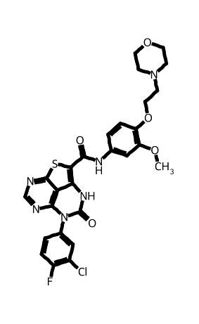 COc1cc(NC(=O)c2sc3ncnc4c3c2NC(=O)N4c2ccc(F)c(Cl)c2)ccc1OCCN1CCOCC1